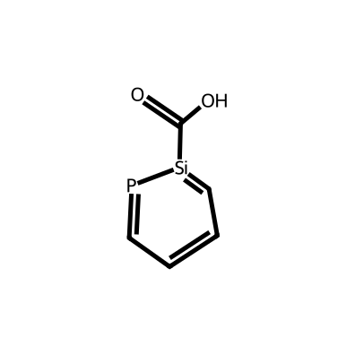 O=C(O)[si]1ccccp1